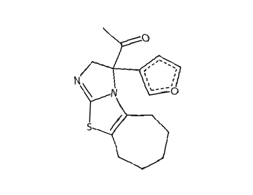 CC(=O)C1(c2ccoc2)CN=C2SC3=C(CCCCC3)N21